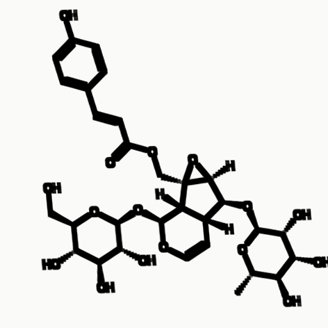 C[C@@H]1O[C@@H](O[C@H]2[C@@H]3C=CO[C@@H](O[C@@H]4O[C@H](CO)[C@@H](O)[C@H](O)[C@H]4O)[C@@H]3[C@@]3(COC(=O)/C=C/c4ccc(O)cc4)O[C@@H]23)[C@H](O)[C@H](O)[C@H]1O